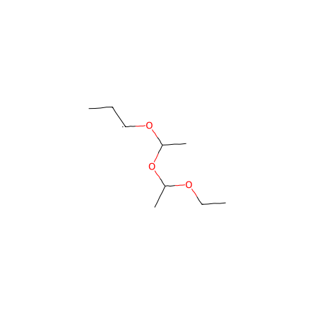 CC[CH]OC(C)OC(C)OCC